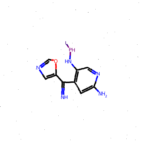 N=C(c1cnco1)c1cc(N)ncc1NPI